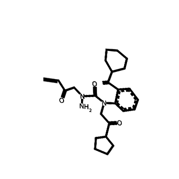 C=CC(=O)CN(N)C(=O)N(CC(=O)C1CCCC1)c1ccccc1C(=C)C1CCCCC1